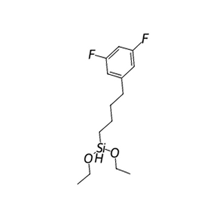 CCO[SiH](CCCCc1cc(F)cc(F)c1)OCC